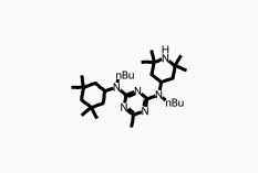 CCCCN(c1nc(C)nc(N(CCCC)C2CC(C)(C)NC(C)(C)C2)n1)C1CC(C)(C)CC(C)(C)C1